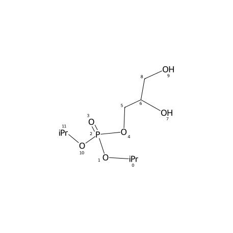 CC(C)OP(=O)(OCC(O)CO)OC(C)C